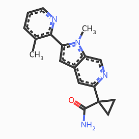 Cc1cccnc1-c1cc2cc(C3(C(N)=O)CC3)ncc2n1C